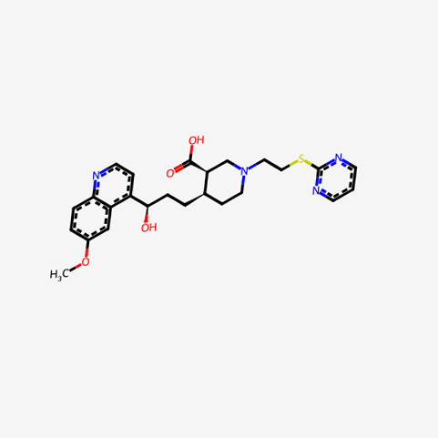 COc1ccc2nccc([C@H](O)CC[C@@H]3CCN(CCSc4ncccn4)C[C@@H]3C(=O)O)c2c1